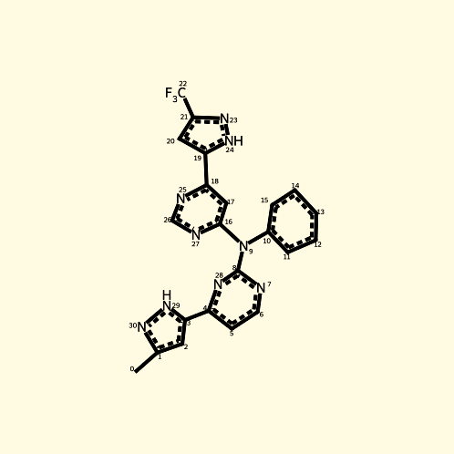 Cc1cc(-c2ccnc(N(c3ccccc3)c3cc(-c4cc(C(F)(F)F)n[nH]4)ncn3)n2)[nH]n1